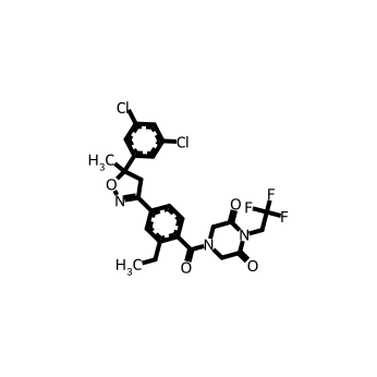 CCc1cc(C2=NOC(C)(c3cc(Cl)cc(Cl)c3)C2)ccc1C(=O)N1CC(=O)N(CC(F)(F)F)C(=O)C1